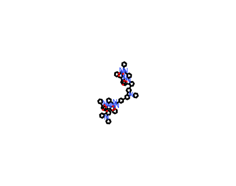 c1ccc(-c2nc(-c3ccc(-c4ccc5c(c4)c4ccc(-c6cccc7c6c6ccccc6n7-c6cccc(-c7nc(-c8ccccc8)nc(-c8ccccc8)n7)c6-n6c7ccccc7c7ccccc76)cc4n5-c4ccccc4)cc3)nc(-c3cccc(-n4c5ccccc5c5ccc(-c6cccc7c6c6ccccc6n7-c6ccccc6)cc54)c3-n3c4ccccc4c4ccccc43)n2)cc1